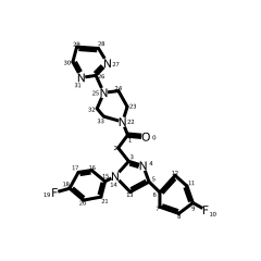 O=C(Cc1nc(-c2ccc(F)cc2)cn1-c1ccc(F)cc1)N1CCN(c2ncccn2)CC1